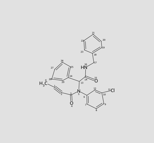 CC#CC(=O)N(c1cccc(Cl)c1)C(C(=O)NCc1ccccc1)c1ccccc1